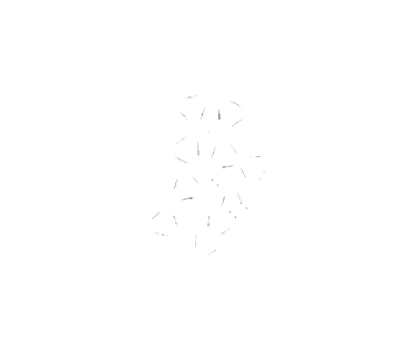 c1ccc(-c2nn3cc4ccccc4cc3c2N(c2ccc3c(c2)C2(c4ccccc4-c4ccccc42)c2ccccc2-3)c2ccc3oc4ccccc4c3c2)cc1